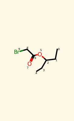 CCC(CC)OC(=O)CBr